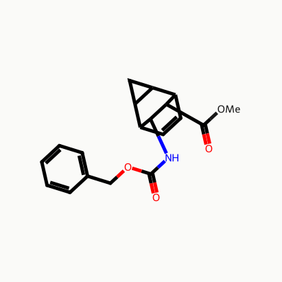 COC(=O)C1C2C=CC(C3CC23)C1NC(=O)OCc1ccccc1